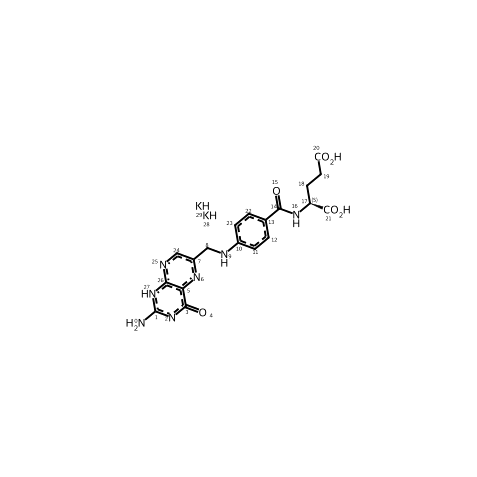 Nc1nc(=O)c2nc(CNc3ccc(C(=O)N[C@@H](CCC(=O)O)C(=O)O)cc3)cnc2[nH]1.[KH].[KH]